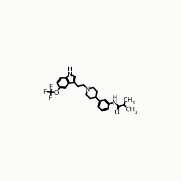 CC(C)C(=O)Nc1cccc(C2CCN(CCc3c[nH]c4ccc(OC(F)(F)F)cc34)CC2)c1